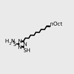 CCCCCCCCC=CCCCCCCCCc1nc(S)nc(SN)n1